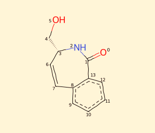 O=C1N[C@@H](CO)C=Cc2ccccc21